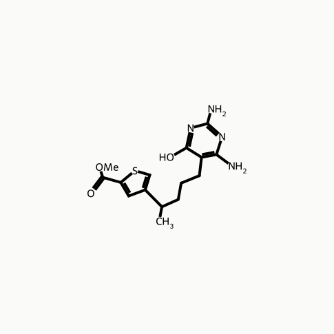 COC(=O)c1cc(C(C)CCCc2c(N)nc(N)nc2O)cs1